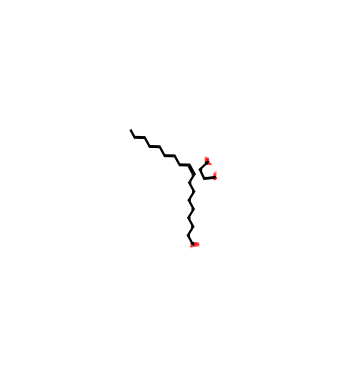 CCCCCCCC/C=C\CCCCCCCC(=O)O.O=C1CCC(=O)O1